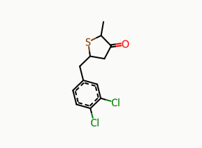 CC1SC(Cc2ccc(Cl)c(Cl)c2)CC1=O